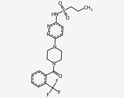 CCCS(=O)(=O)Nc1ccc(N2CCN(C(=O)c3ccccc3C(F)(F)F)CC2)nn1